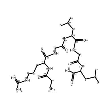 CC(C)CC(NC(=O)CNC(=O)C(CC(C)C)NC(=O)CNC(=O)C(CCCNC(=N)N)NC(=O)CN)C(=O)O